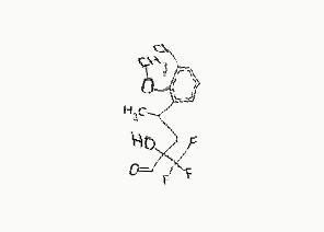 COc1c(Cl)cccc1C(C)CC(O)(C=O)C(F)(F)F